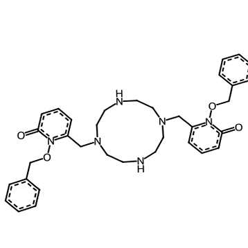 O=c1cccc(CN2CCNCCN(Cc3cccc(=O)n3OCc3ccccc3)CCNCC2)n1OCc1ccccc1